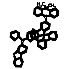 CC1(C)c2ccccc2N(c2ccc3c(c2)-c2ccccc2C32c3ccccc3-c3cccc(-c4cccc(N(c5ccccc5)c5ccc6c(c5)sc5ccccc56)c4)c32)c2ccccc21